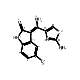 N/C(=C1\C(=O)Nc2ccc(Br)cc21)c1csc(N)n1